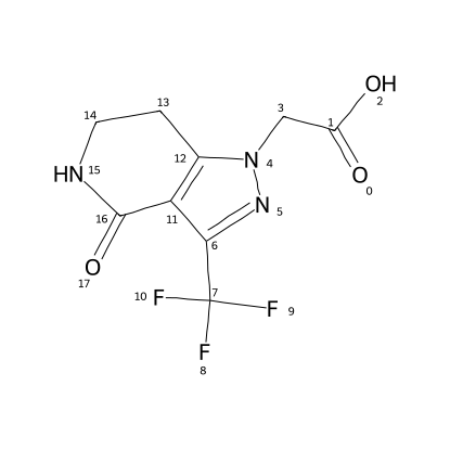 O=C(O)Cn1nc(C(F)(F)F)c2c1CCNC2=O